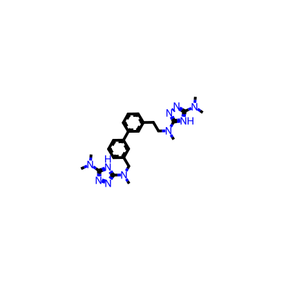 CN(C)c1nnc(N(C)CCc2cccc(-c3cccc(CN(C)c4nnc(N(C)C)[nH]4)c3)c2)[nH]1